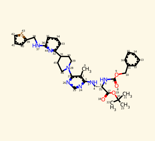 Cc1c(NC[C@H](NC(=O)OCc2ccccc2)C(=O)OC(C)(C)C)ncnc1N1CCC(c2cccc(NCc3cccs3)n2)CC1